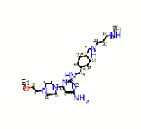 CCOCCN1CCN(c2cc(N)nc(NC[C@H]3CC[C@H](CNCCCNC(C)C)CC3)n2)CC1